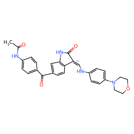 CC(=O)Nc1ccc(C(=O)c2ccc3c(c2)NC(=O)/C3=C/Nc2ccc(N3CCOCC3)cc2)cc1